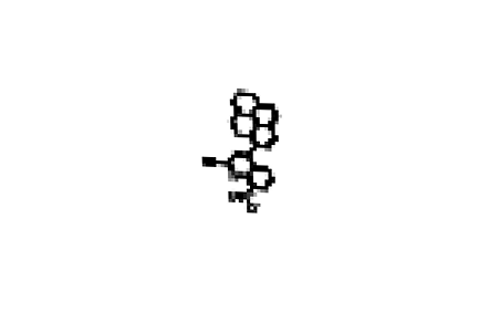 C#Cc1cc(-c2ccc3ccc4cccc5ccc2c3c45)c2cccc([N+](=O)[O-])c2n1